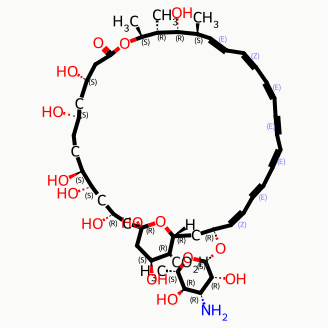 C[C@@H]1[C@H](O)[C@@H](C)/C=C/C=C\C=C\C=C\C=C\C=C\C=C/[C@H](O[C@H]2O[C@@H](C)[C@H](O)[C@@H](N)[C@H]2O)C[C@H]2O[C@](O)(C[C@H](O)C[C@H](O)[C@@H](O)CC[C@H](O)C[C@H](O)CC(=O)O[C@H]1C)C[C@H](O)[C@H]2C(=O)O